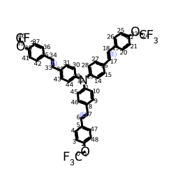 FC(F)(F)Oc1ccc(/C=C/c2ccc(N(c3ccc(/C=C/c4ccc(OC(F)(F)F)cc4)cc3)c3ccc(/C=C/c4ccc(OC(F)(F)F)cc4)cc3)cc2)cc1